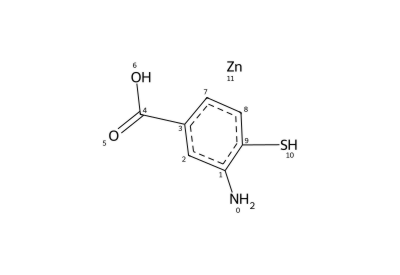 Nc1cc(C(=O)O)ccc1S.[Zn]